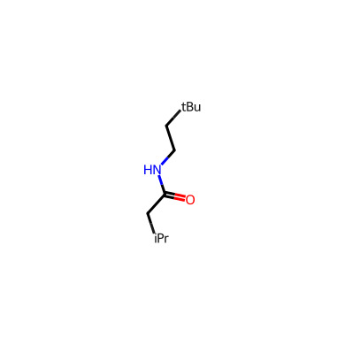 CC(C)CC(=O)NCCC(C)(C)C